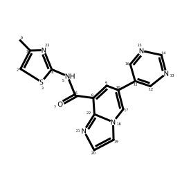 Cc1csc(NC(=O)c2cc(-c3cncnc3)cn3ccnc23)n1